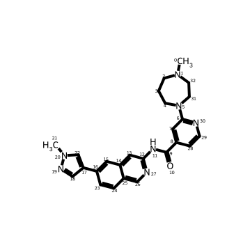 CN1CCCN(c2cc(C(=O)Nc3cc4cc(-c5cnn(C)c5)ccc4cn3)ccn2)CC1